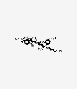 CC[N+]1=C(/C=C/C=C/C=C(\C)N(CCCCCC=O)c2ccc(S(=O)(=O)O)cc2C)C(C)(C)c2cc(S(=O)(=O)OC)ccc21